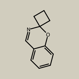 C1=NC2(CCC2)Oc2ccccc21